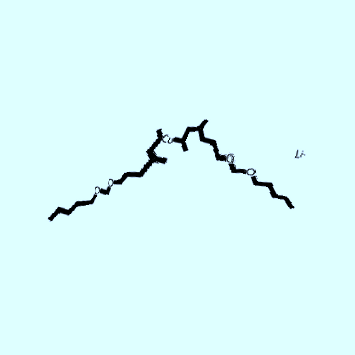 CCCCCOCOCCCC(C)C[CH](C)[Cu][CH](C)CC(C)CCCOCOCCCCC.[Li]